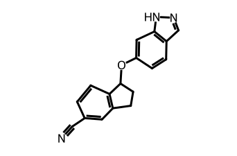 N#Cc1ccc2c(c1)CCC2Oc1ccc2cn[nH]c2c1